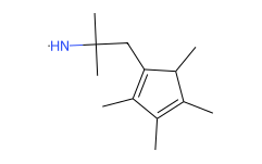 CC1=C(C)C(C)C(CC(C)(C)[NH])=C1C